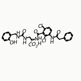 O=C(Cc1ccccc1)Nc1ccc(Cl)c(C(=O)N[C@@H](CNC(=O)NCc2ccccc2O)C(=O)O)c1Cl